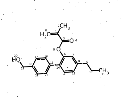 C=C(C)C(=O)Oc1cc(CCC)ccc1-c1ccc(CO)cc1